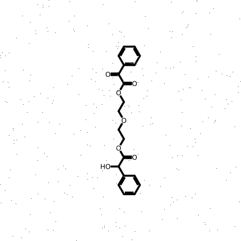 O=C(OCCOCCOC(=O)C(O)c1ccccc1)C(=O)c1ccccc1